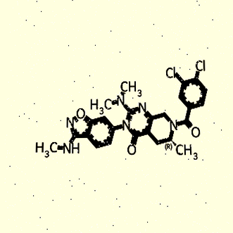 CNc1noc2cc(-n3c(N(C)C)nc4c(c3=O)C[C@@H](C)N(C(=O)c3ccc(Cl)c(Cl)c3)C4)ccc12